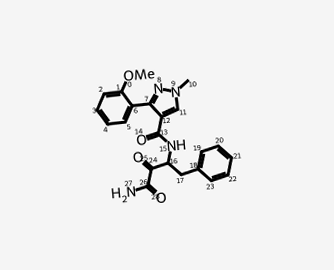 COc1ccccc1-c1nn(C)cc1C(=O)NC(Cc1ccccc1)C(=O)C(N)=O